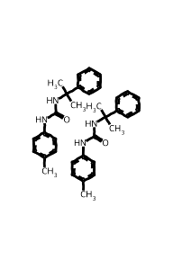 Cc1ccc(NC(=O)NC(C)(C)c2ccccc2)cc1.Cc1ccc(NC(=O)NC(C)(C)c2ccccc2)cc1